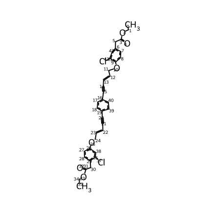 CCOC(=O)Cc1ccc(OC/C=C/C#Cc2ccc(C#C/C=C/COc3ccc(CC(=O)OCC)c(Cl)c3)cc2)c(Cl)c1